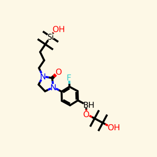 CC(C)(O)C(C)(C)OBc1ccc(N2CCN(CCCC(C)(C)[Si](C)(C)O)C2=O)c(F)c1